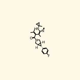 C=N/C(NC1(C)CC1)=C(\C)C(C(=O)N1C[C@@H]2[C@H](C1)[C@H]2c1ccc(F)cc1)=C(C)C